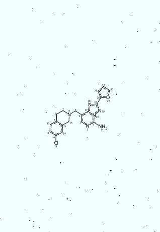 Nc1ncc(CN2CCc3ccc(Cl)cc3C2)c2nc(-c3ccco3)nn12